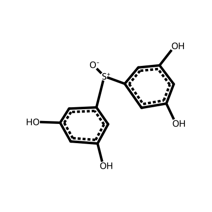 [O-][S+](c1cc(O)cc(O)c1)c1cc(O)cc(O)c1